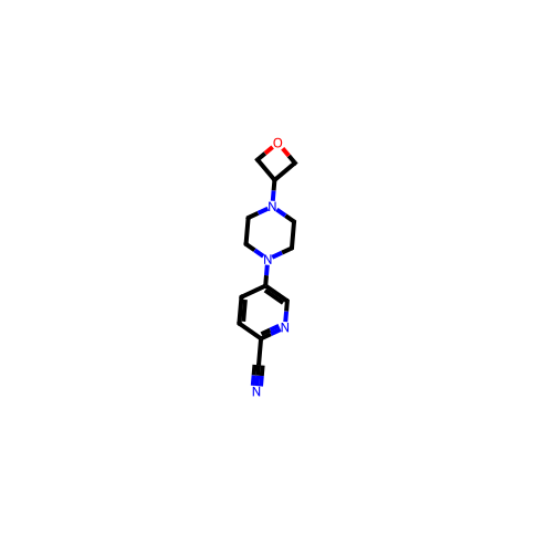 N#Cc1ccc(N2CCN(C3COC3)CC2)cn1